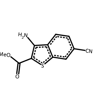 COC(=O)c1sc2cc(C#N)ccc2c1N